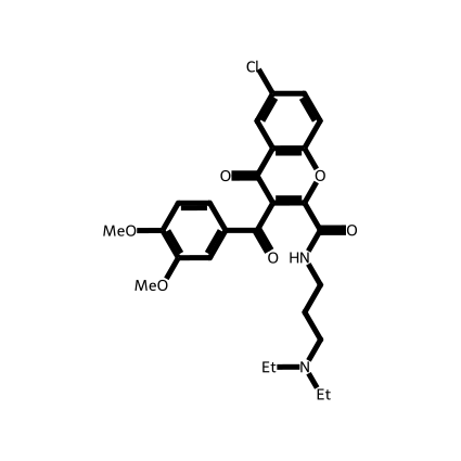 CCN(CC)CCCNC(=O)c1oc2ccc(Cl)cc2c(=O)c1C(=O)c1ccc(OC)c(OC)c1